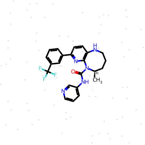 C[C@@H]1CCCNc2ccc(-c3cccc(C(F)(F)F)c3)nc2N1C(=O)Nc1cccnc1